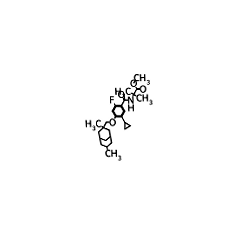 COC(=O)C(C)(C)NC(=O)c1cc(C2CC2)c(OCC2(C)CC3CC(C)CC(C3)C2)cc1F